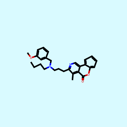 CCCCN(CCCc1ncc2c(c1C)c(=O)oc1ccccc12)Cc1cccc(OC)c1